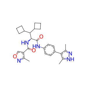 Cc1nocc1C(=O)N[C@H](C(=O)Nc1ccc(-c2c(C)n[nH]c2C)cc1)C(C1CCC1)C1CCC1